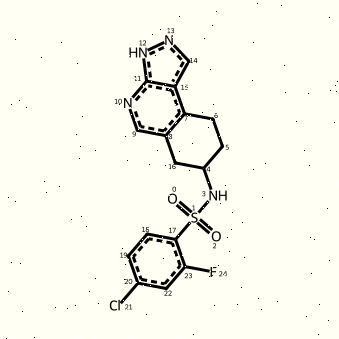 O=S(=O)(NC1CCc2c(cnc3[nH]ncc23)C1)c1ccc(Cl)cc1F